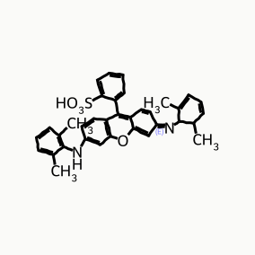 CC1=CC=CC(C)C1/N=c1\ccc2c(-c3ccccc3S(=O)(=O)O)c3ccc(Nc4c(C)cccc4C)cc3oc-2c1